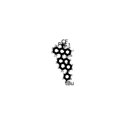 CC(C)(C)c1ccc(-c2ccc3ccc4c(-c5c6ccccc6c(C(F)(F)C(F)(F)F)c6ccccc56)ccc5ccc2c3c54)cc1